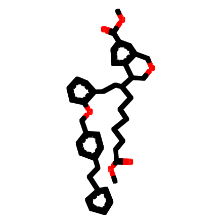 COC(=O)CCCCCCC(CCc1ccccc1OCc1ccc(CCc2ccccc2)cc1)C1COCc2cc(C(=O)OC)ccc21